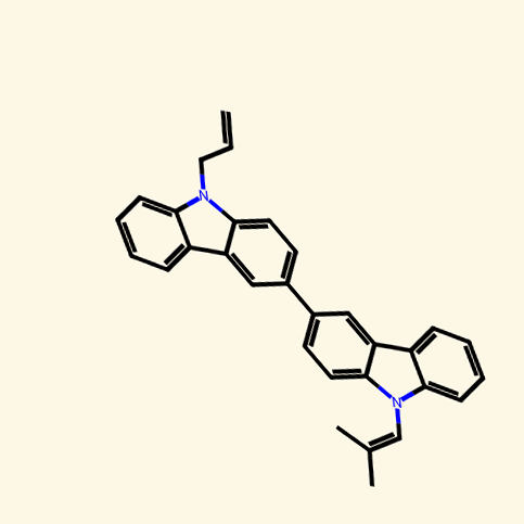 C=CCn1c2ccccc2c2cc(-c3ccc4c(c3)c3ccccc3n4C=C(C)C)ccc21